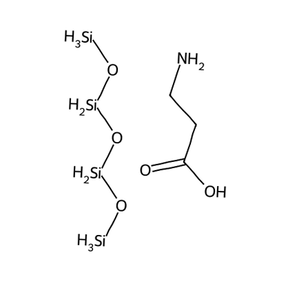 NCCC(=O)O.[SiH3]O[SiH2]O[SiH2]O[SiH3]